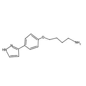 NCCCCOc1ccc(-c2cc[nH]n2)cc1